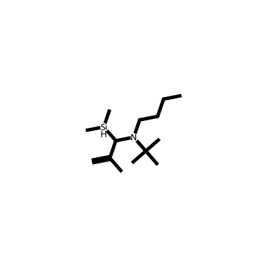 C=C(C)C(N(CCCC)C(C)(C)C)[SiH](C)C